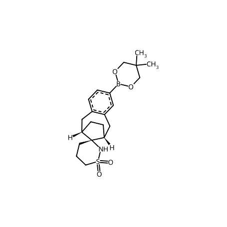 CC1(C)COB(c2ccc3c(c2)C[C@H]2CC[C@@H](C3)[C@]23CCCS(=O)(=O)N3)OC1